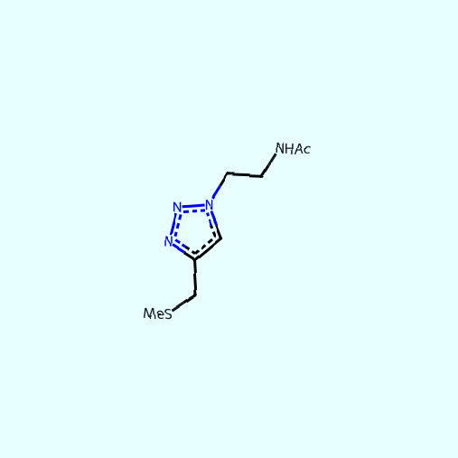 CSCc1cn(CCNC(C)=O)nn1